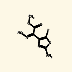 COC(=O)/C(=N\O)c1nc(N)sc1F